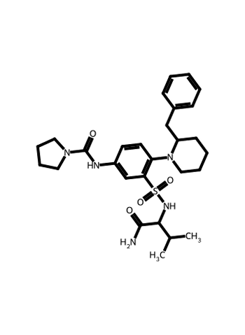 CC(C)C(NS(=O)(=O)c1cc(NC(=O)N2CCCC2)ccc1N1CCCCC1Cc1ccccc1)C(N)=O